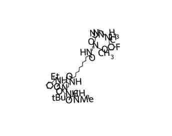 CC[C@@H](NC(=O)[C@@H]1C[C@H](NC(=O)CCCCCCCCC(=O)NCCN2C[C@H](C)Oc3ccc(F)cc3C(C)Nc3ccn4ncc(c4n3)C2=O)CN1C(=O)[C@@H](NC(=O)[C@H](C)NC)C(C)(C)C)c1ccccc1